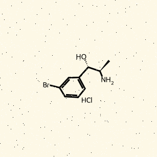 C[C@@H](N)[C@@H](O)c1cccc(Br)c1.Cl